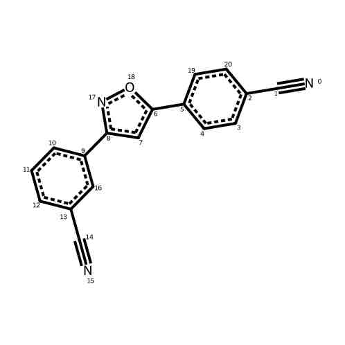 N#Cc1ccc(-c2cc(-c3cccc(C#N)c3)no2)cc1